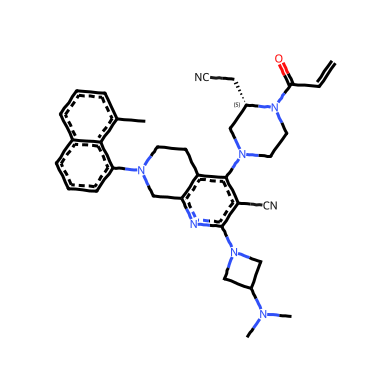 C=CC(=O)N1CCN(c2c(C#N)c(N3CC(N(C)C)C3)nc3c2CCN(c2cccc4cccc(C)c24)C3)C[C@@H]1CC#N